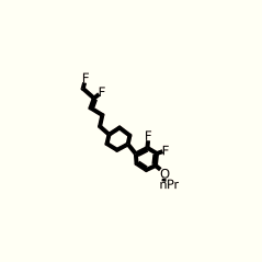 CCCOc1ccc(C2CCC(CCC=C(F)CF)CC2)c(F)c1F